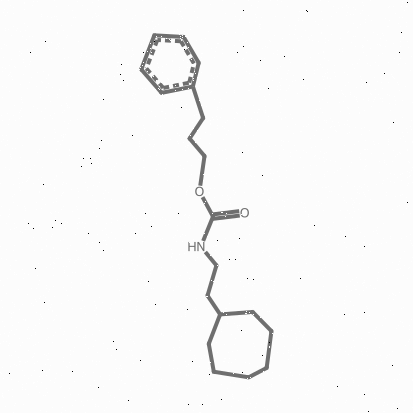 O=C(NCCC1CCCCCC1)OCCCc1ccccc1